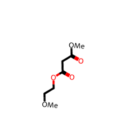 COCCOC(=O)CC(=O)OC